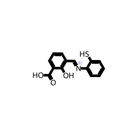 O=C(O)c1cccc(/C=N/c2ccccc2S)c1O